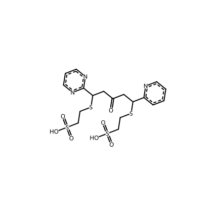 O=C(CC(SCCS(=O)(=O)O)c1ccccn1)CC(SCCS(=O)(=O)O)c1ncccn1